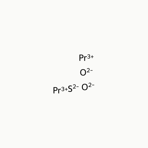 [O-2].[O-2].[Pr+3].[Pr+3].[S-2]